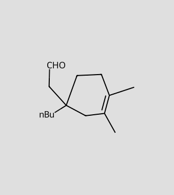 CCCCC1(CC=O)CCC(C)=C(C)C1